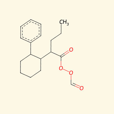 CCCC(C(=O)OOC=O)C1CCCCC1c1ccccc1